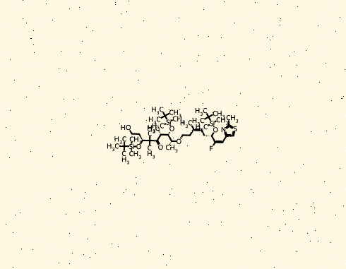 C/C(=C/C[C@H](O[Si](C)(C)C(C)(C)C)/C(F)=C\c1csc(C)n1)CCO[C@H](C)[C@@H](O[Si](C)(C)C(C)(C)C)[C@@H](C)C(=O)C(C)(C)[C@H](CCO)O[Si](C)(C)C(C)(C)C